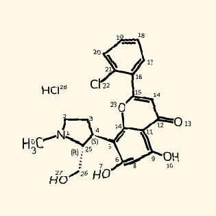 CN1CC[C@@H](c2c(O)cc(O)c3c(=O)cc(-c4ccccc4Cl)oc23)[C@@H]1CO.Cl